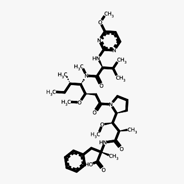 CC[C@H](C)[C@@H]([C@@H](CC(=O)N1CCC[C@H]1[C@H](OC)[C@@H](C)C(=O)N[C@@](C)(Cc1ccccc1)C(=O)O)OC)N(C)C(=O)[C@@H](Nc1nccc(OC)n1)C(C)C